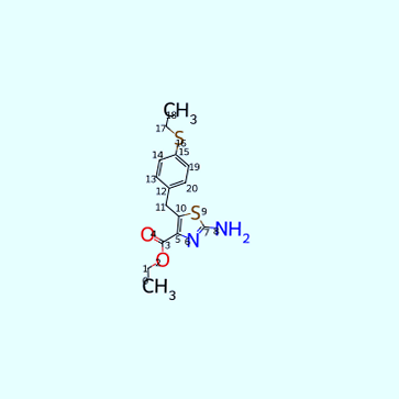 CCOC(=O)c1nc(N)sc1Cc1ccc(SCC)cc1